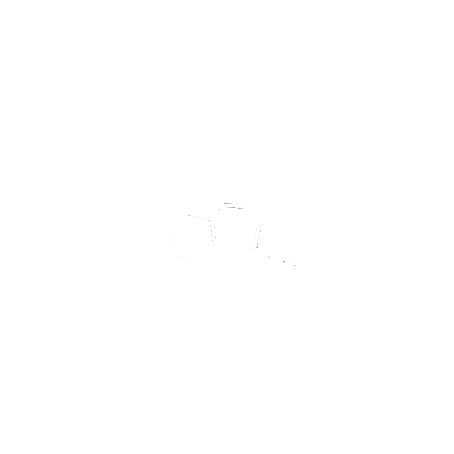 COC1=CC=C(P)C(/C=C\N(C)C)=CC1